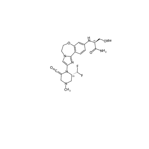 COC[C@H](Nc1ccc2c(c1)OCCn1cc(N3C(=C=O)CN(C)C[C@H]3C(F)F)nc1-2)C(N)=O